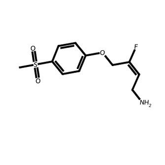 CS(=O)(=O)c1ccc(OC/C(F)=C\CN)cc1